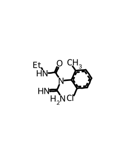 CCNC(=O)N(C(=N)N)c1c(C)cccc1Cl